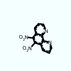 O=[N+]([O-])c1c([N+](=O)[O-])c2cccnc2c2ncccc12